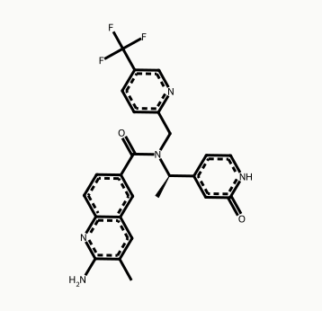 Cc1cc2cc(C(=O)N(Cc3ccc(C(F)(F)F)cn3)[C@H](C)c3cc[nH]c(=O)c3)ccc2nc1N